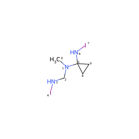 CN(CNI)C1(NI)CC1